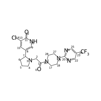 O=C(CN1CCCC1c1c[nH]c(=O)c(Cl)c1)N1CCN(c2ncc(C(F)(F)F)cn2)CC1